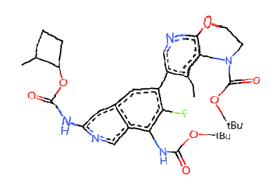 Cc1c(-c2cc3cc(NC(=O)OC4CCC4C)ncc3c(NC(=O)OC(C)(C)C)c2F)cnc2c1N(C(=O)OC(C)(C)C)CCO2